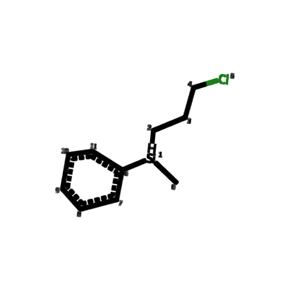 C[SiH](CCCCl)c1ccccc1